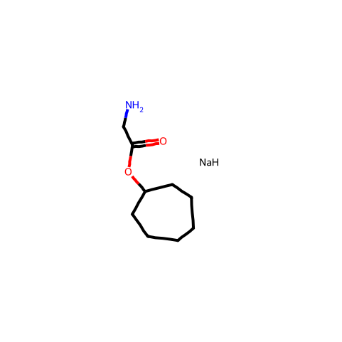 NCC(=O)OC1CCCCCC1.[NaH]